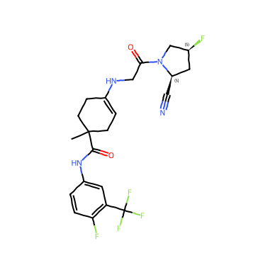 CC1(C(=O)Nc2ccc(F)c(C(F)(F)F)c2)CC=C(NCC(=O)N2C[C@@H](F)C[C@H]2C#N)CC1